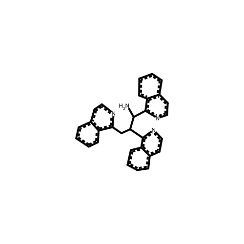 NC(c1nccc2ccccc12)C(Cc1nccc2ccccc12)c1nccc2ccccc12